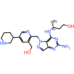 CCC[C@@H](CCO)Nc1nc(N)nc2cnn(Cc3ncc(C4CCCNC4)cc3CO)c12